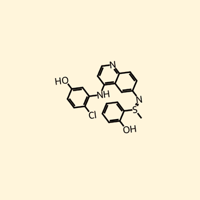 CS(=Nc1ccc2nccc(Nc3cc(O)ccc3Cl)c2c1)c1ccccc1O